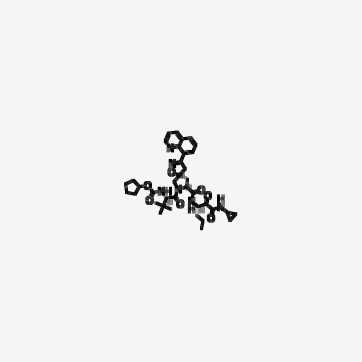 CCC[C@H](NC(=O)[C@@H]1C[C@]2(CC(c3cccc4cccnc34)=NO2)CN1C(=O)[C@@H](NC(=O)OC1CCCC1)C(C)(C)C)C(=O)C(=O)NC1CC1